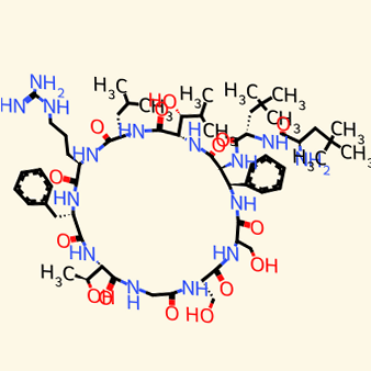 CC(C)C[C@@H]1NC(=O)[C@H]([C@H](O)C(C)C)NC(=O)[C@@H](NC(=O)[C@H](CC(C)(C)C)NC(=O)[C@H](N)CC(C)(C)C)[C@@H](c2ccccc2)NC(=O)C(CO)NC(=O)[C@H](CO)NC(=O)CNC(=O)[C@H]([C@H](C)O)NC(=O)[C@H](Cc2ccccc2)NC(=O)[C@@H](CCCNC(=N)N)NC1=O